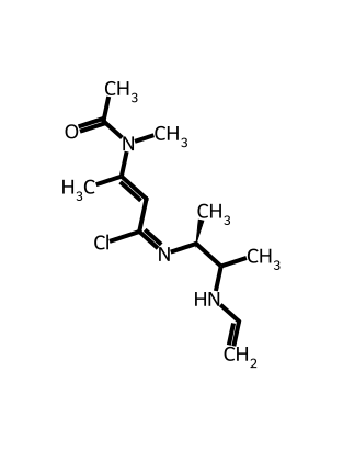 C=CNC(C)[C@H](C)/N=C(Cl)\C=C(/C)N(C)C(C)=O